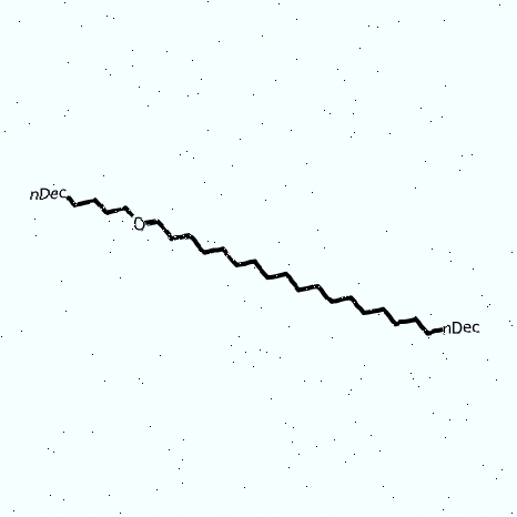 CCCCCCCCCCCCCCCCCCCCCCCCCCCCOCCCCCCCCCCCCCC